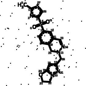 Cc1nc(S(=O)(=O)c2ccc3c(c2)C=NN(Cc2cc4n(n2)CCO4)C3)cs1